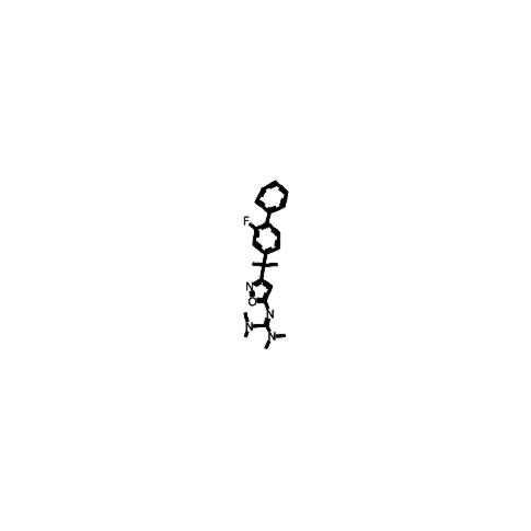 CN(C)C(=Nc1cc(C(C)(C)c2ccc(-c3ccccc3)c(F)c2)no1)N(C)C